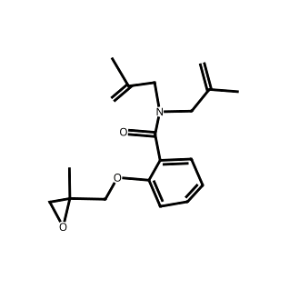 C=C(C)CN(CC(=C)C)C(=O)c1ccccc1OCC1(C)CO1